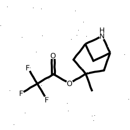 CC1(OC(=O)C(F)(F)F)CC2CC(C1)N2